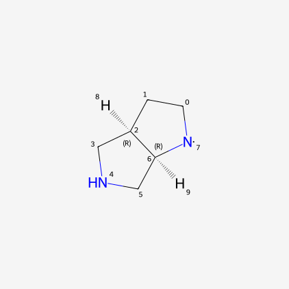 C1C[C@@H]2CNC[C@@H]2[N]1